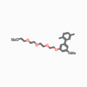 CNc1cc(OCCOCCOCCOCCOC)cc(-c2cc(C)ccc2C)c1